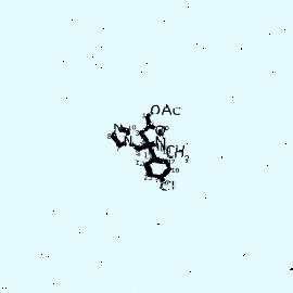 CC(=O)OCC1CC(Cn2ccnc2)(c2ccc(Cl)cc2)N(C)O1